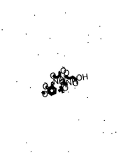 COCC(NC(=O)C(CC(=O)O)NC(=O)OC(C)(C)C)C(=O)NCc1cccc(OC)c1OC